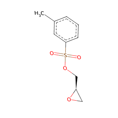 Cc1cccc(S(=O)(=O)OC[C@H]2CO2)c1